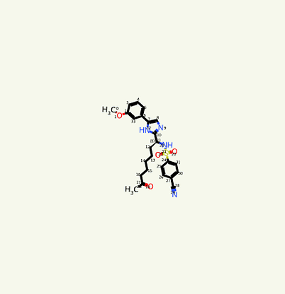 COc1cccc(-c2cnc([C@H](CCCCCC(C)=O)NS(=O)(=O)c3ccc(C#N)cc3)[nH]2)c1